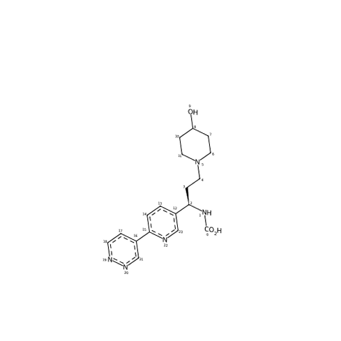 O=C(O)N[C@H](CCN1CCC(O)CC1)c1ccc(-c2ccnnc2)nc1